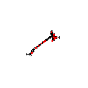 CN1CCC(C=O)(C2=C(N(C)Cc3nc4cc(Cl)ccc4n3CCCCOCCOCCOCCOCCOCCOCCOCCOCCN3CCN(CCC(=O)O)CC3)CNC=C2)CC1